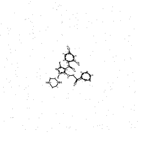 C1CNCCN1.Cc1nn(C)c(OCC(=O)c2ccccc2)c1C(=O)c1ccc(Cl)cc1Cl